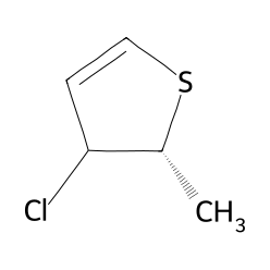 C[C@H]1SC=CC1Cl